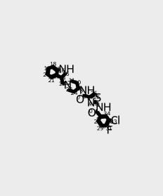 O=C(Nc1nc(C(=O)NC2CCN(CC3CNc4ccccc43)CC2)cs1)c1ccc(F)c(Cl)c1